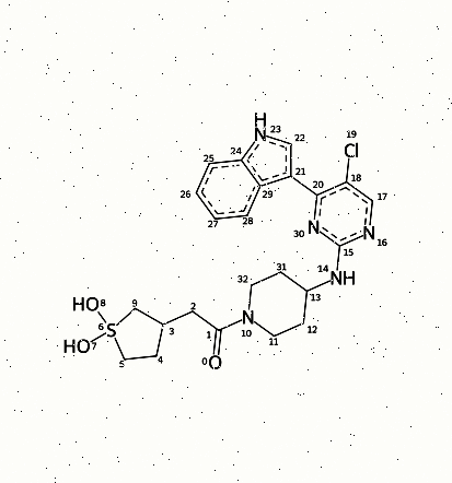 O=C(CC1CCS(O)(O)C1)N1CCC(Nc2ncc(Cl)c(-c3c[nH]c4ccccc34)n2)CC1